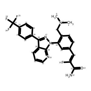 CN(C)Cc1ccc(C=C(F)C(N)=O)cc1-n1nc(-c2ccc(C(F)(F)F)cc2)c2cccnc21